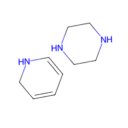 C1=CCNC=C1.C1CNCCN1